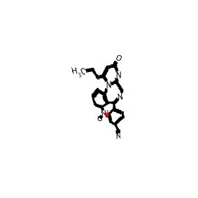 CCCc1cc(=O)nc2n1-c1cccc([N+](=O)[O-])c1C(c1ccc(C#N)cc1)=NC2